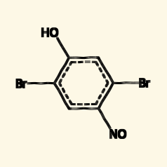 O=Nc1cc(Br)c(O)cc1Br